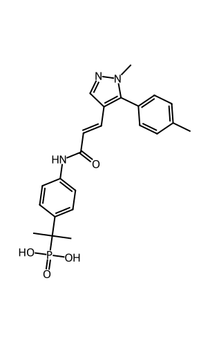 Cc1ccc(-c2c(/C=C/C(=O)Nc3ccc(C(C)(C)P(=O)(O)O)cc3)cnn2C)cc1